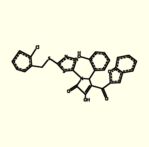 O=C(C1=C(O)C(=O)N(c2nnc(SCc3ccccc3Cl)s2)C1c1ccccc1O)c1cc2ccccc2o1